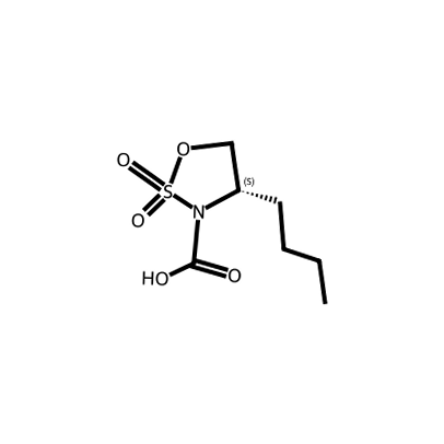 CCCC[C@H]1COS(=O)(=O)N1C(=O)O